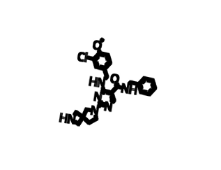 COc1ccc(CNc2nc(N3CCC4(CNC4)C3)ncc2C(=O)NCc2ccccc2)cc1Cl